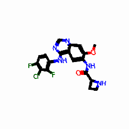 COc1cc2ncnc(Nc3ccc(F)c(Cl)c3F)c2cc1NC(=O)C1CCN1